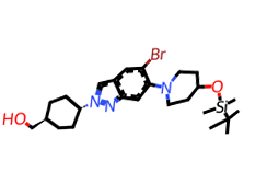 CC(C)(C)[Si](C)(C)OC1CCN(c2cc3nn([C@H]4CC[C@H](CO)CC4)cc3cc2Br)CC1